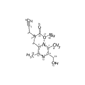 C#CCN(Cc1nc(C)c(CO)nc1C)C(=O)OC(C)(C)C